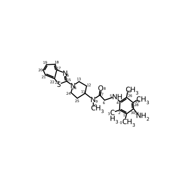 Cc1c(C)c(NCC(=O)N(C)C2CCN(c3nc4ccccc4s3)CC2)c(C)c(C)c1N